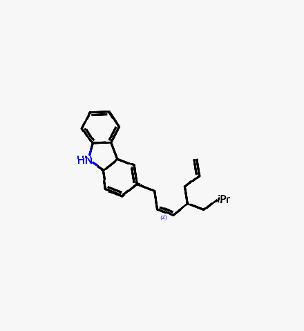 C=CCC(/C=C\CC1=CC2c3ccccc3NC2C=C1)CC(C)C